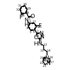 O=C(Nc1ccc(-c2nnc(NCCCN3CCN4CCC3CC4)o2)c(F)c1)c1ccccc1F